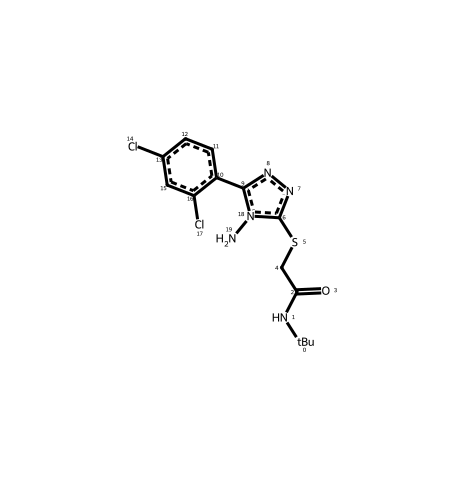 CC(C)(C)NC(=O)CSc1nnc(-c2ccc(Cl)cc2Cl)n1N